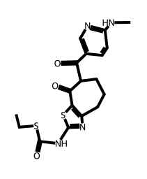 CCSC(=O)Nc1nc2c(s1)C(=O)C(C(=O)c1ccc(NC)nc1)CCC2